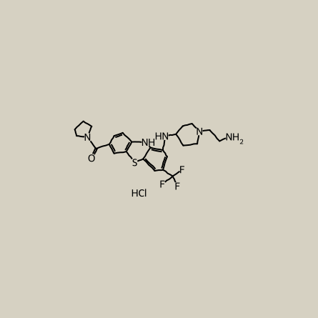 Cl.NCCN1CCC(Nc2cc(C(F)(F)F)cc3c2Nc2ccc(C(=O)N4CCCC4)cc2S3)CC1